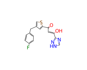 O=C(C=C(O)c1nc[nH]n1)c1cc(Cc2ccc(F)cc2)cs1